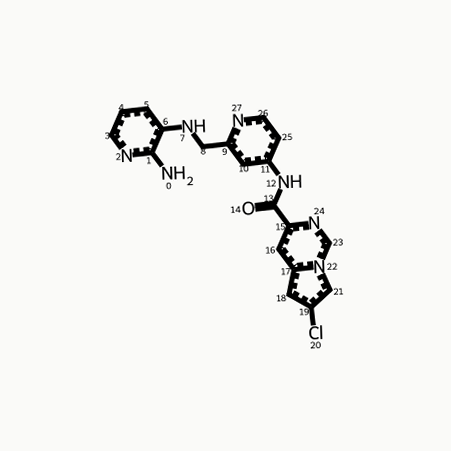 Nc1ncccc1NCc1cc(NC(=O)c2cc3cc(Cl)cn3cn2)ccn1